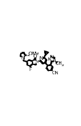 COC[C@H]1CCCN1Cc1cc(F)c2c(c1)C(=O)N(c1cc(-c3ccc(C#N)cc3-c3nncn3C)cc(C3CC3)n1)C2